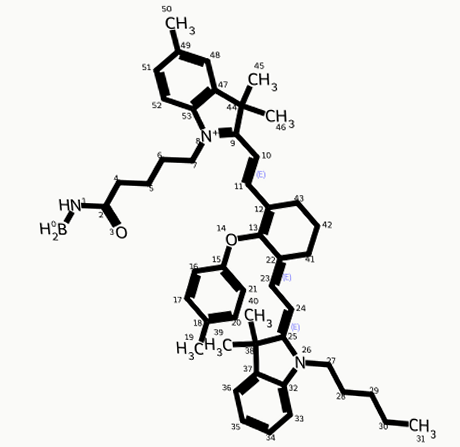 BNC(=O)CCCC[N+]1=C(/C=C/C2=C(Oc3ccc(C)cc3)C(=C/C=C3/N(CCCCC)c4ccccc4C3(C)C)/CCC2)C(C)(C)c2cc(C)ccc21